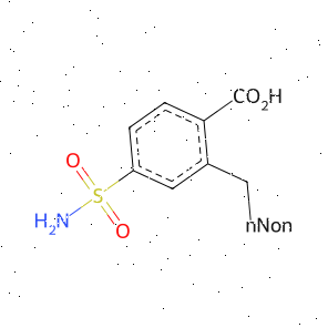 CCCCCCCCCCc1cc(S(N)(=O)=O)ccc1C(=O)O